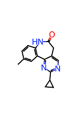 Cc1ccc2c(c1)-c1nc(C3CC3)ncc1CC(=O)N2